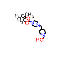 CC(C)(C)OC(=O)N1CCN(CC2CCN(CO)CC2)CC1